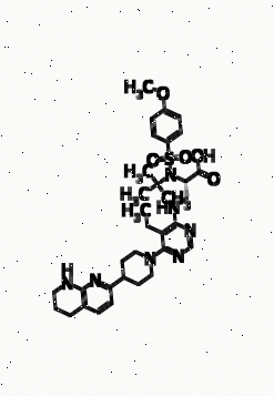 CCc1c(NC[C@@H](C(=O)O)N(C(C)(C)C)S(=O)(=O)c2ccc(OC)cc2)ncnc1N1CCC(c2ccc3c(n2)NCCC3)CC1